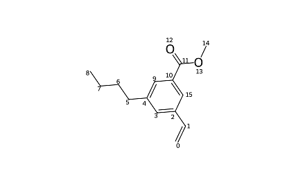 C=Cc1cc(CCCC)cc(C(=O)OC)c1